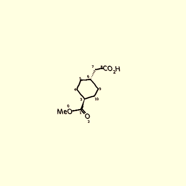 COC(=O)[C@H]1CC[C@H](CC(=O)O)CC1